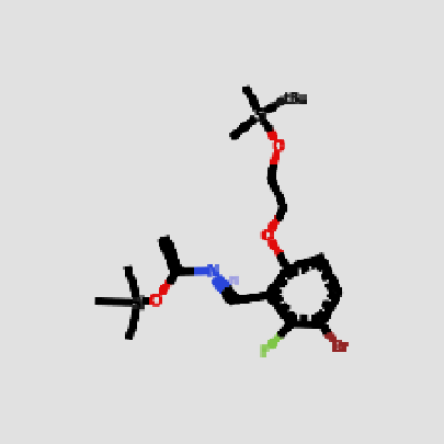 C=C(/N=C/c1c(OCCO[Si](C)(C)C(C)(C)C)ccc(Br)c1F)O[Si](C)(C)C